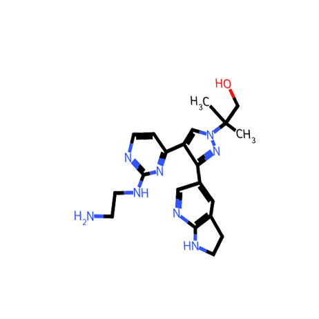 CC(C)(CO)n1cc(-c2ccnc(NCCN)n2)c(-c2cnc3c(c2)CCN3)n1